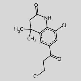 CC1(C)CC(=O)Nc2c(Cl)cc(C(=O)CCCl)cc21